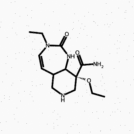 CCO[C@]1(C(N)=O)CNCC2C=CN(CC)C(=O)NC21